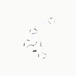 c1ccc(CNCc2ccc(-n3c4ccccc4c4cc5c(cc43)sc3ccccc35)cc2)cc1